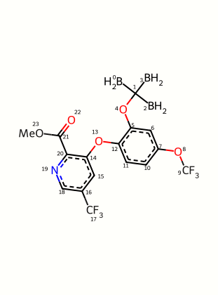 BC(B)(B)Oc1cc(OC(F)(F)F)ccc1Oc1cc(C(F)(F)F)cnc1C(=O)OC